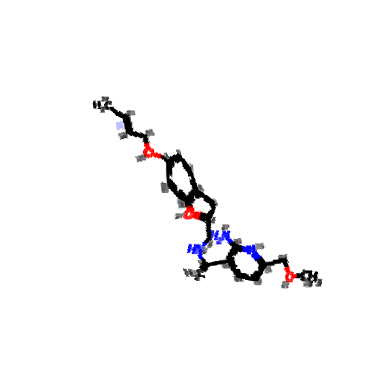 C=C(NCc1cc2ccc(OC/C=C/C)cc2o1)c1ccc(COC)nc1N